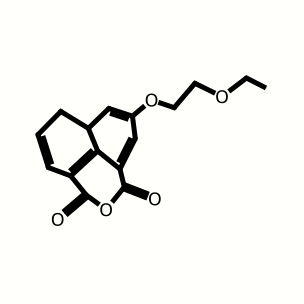 CCOCCOC1=CC2CC=CC3=C2C(=C1)C(=O)OC3=O